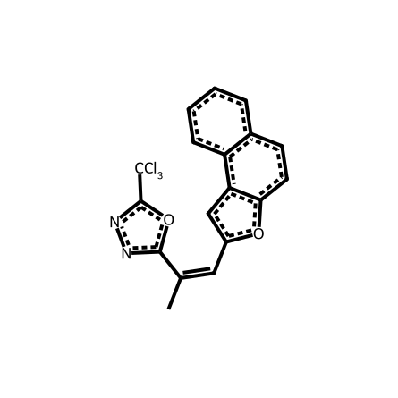 CC(=Cc1cc2c(ccc3ccccc32)o1)c1nnc(C(Cl)(Cl)Cl)o1